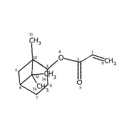 C=CC(=O)OC1CCC2CC1(C)C2(C)C